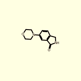 O=C1NCc2ccc(N3CCOCC3)cc21